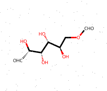 O=COC[C@@H](O)[C@@H](O)[C@H](O)[C@@H](O)C=O